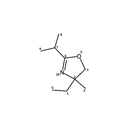 CCC1(C)COC(C(C)C)=N1